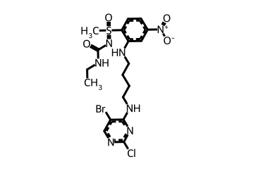 CCNC(=O)N=S(C)(=O)c1ccc([N+](=O)[O-])cc1NCCCCNc1nc(Cl)ncc1Br